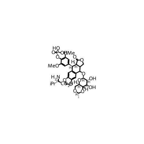 CC(C)[C@H](N)C(=O)O.COc1cc([C@@H]2c3cc4c(cc3C(O[C@@H]3O[C@@H]5CO[C@@H](C)O[C@H]5[C@H](O)[C@H]3O)C3COC(=O)[C@@H]32)OCO4)cc(OC)c1OP(=O)(O)O